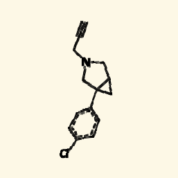 C#CCN1CC2CC2(c2ccc(Cl)cc2)C1